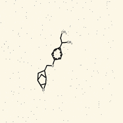 CCC(C)c1ccc(OCC2CC3CC2C2OC32)cc1